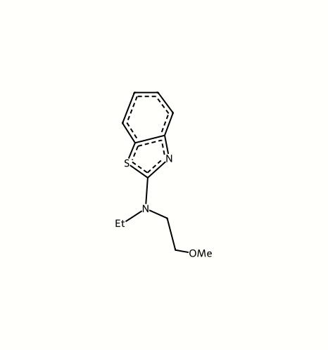 CCN(CCOC)c1nc2ccccc2s1